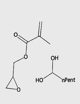 C=C(C)C(=O)OCC1CO1.CCCCCC(O)O